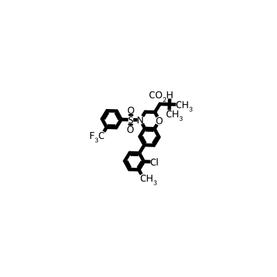 Cc1cccc(-c2ccc3c(c2)N(S(=O)(=O)c2cccc(C(F)(F)F)c2)CC(CC(C)(C)C(=O)O)O3)c1Cl